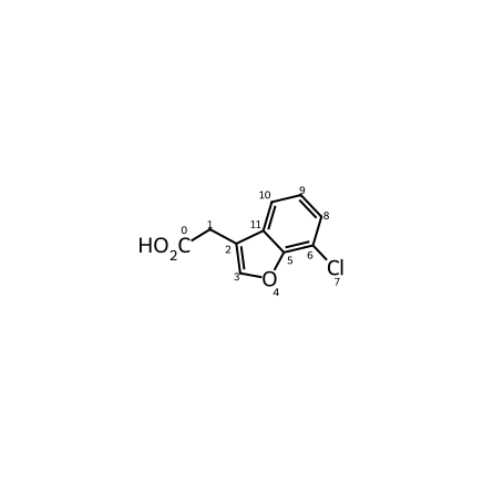 O=C(O)Cc1coc2c(Cl)cccc12